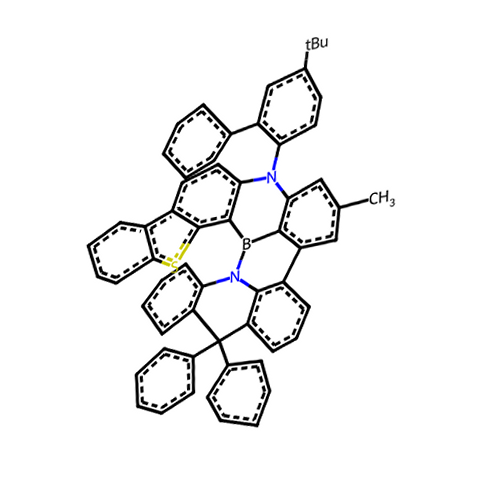 Cc1cc2c3c(c1)N(c1ccc(C(C)(C)C)cc1-c1ccccc1)c1ccc4c(sc5ccccc54)c1B3N1c3ccccc3C(c3ccccc3)(c3ccccc3)c3cccc-2c31